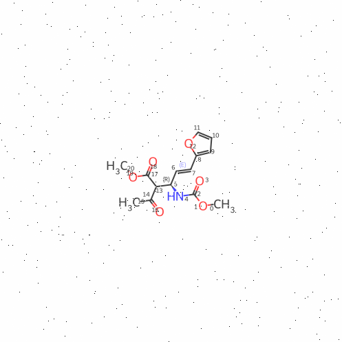 COC(=O)N[C@H](/C=C/c1ccco1)C(C(C)=O)C(=O)OC